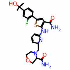 CC(C)(O)c1ccc(-c2cc(C(N)=O)c(Nc3cccc(CN4CCOCC4C(N)=O)n3)s2)c(F)c1